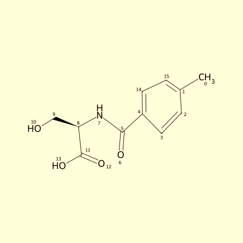 Cc1ccc(C(=O)N[C@H](CO)C(=O)O)cc1